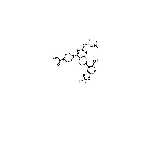 C=CC(=O)N1CCN(c2nc(O[C@H](C)CN(C)C)nc3c2CCN(c2cc(OC(F)(F)F)ccc2O)C3)CC1